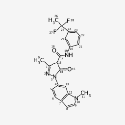 CC1=NN(c2ccc3ccn(C)c3c2)C(=O)C1C(=O)Nc1cccc(C(C)(F)F)c1